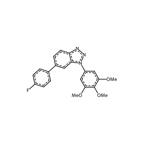 COc1cc(-n2nnc3ccc(-c4ccc(F)cc4)cc32)cc(OC)c1OC